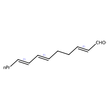 CCC/C=C/C=C/CC/C=C/[C]=O